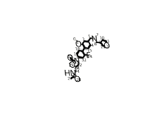 COc1cc(CN(C)Cc2ccoc2)ccc1-c1ccc(N2C[C@H](CNC(C)=O)OC2=O)cc1F